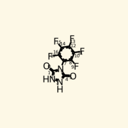 O=c1[nH][nH]c(=O)n1-c1c(F)c(F)c(F)c(F)c1F